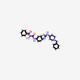 O=C(Nc1ccc2nc(NC3CCN(Cc4ccccc4)CC3)sc2c1)N(S)C(=O)c1ccccc1